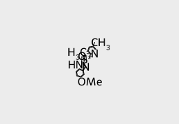 COc1ccc2[nH]c([S@+]([O-])Cc3ncc(C)cc3C)nc2c1